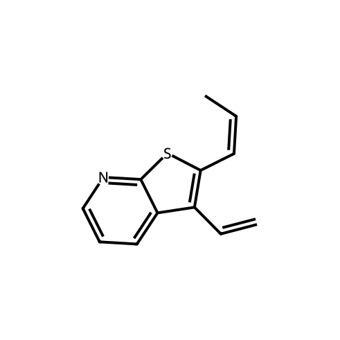 C=Cc1c(/C=C\C)sc2ncccc12